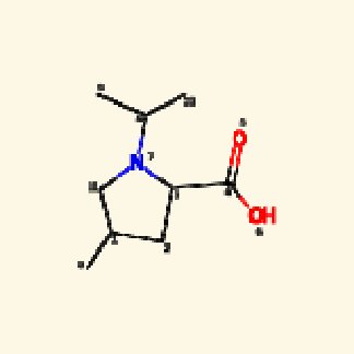 CC1CC(C(=O)O)N(C(C)C)C1